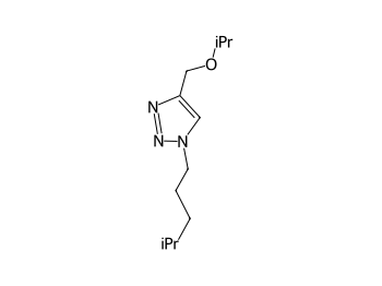 CC(C)CCCn1cc(COC(C)C)nn1